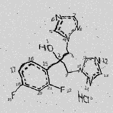 Cl.OC(Cn1cncn1)(Cn1cncn1)c1ccc(F)cc1F